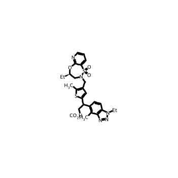 CC[C@@H]1CN(Cc2cc(C(CC(=O)O)c3ccc4c(nnn4CC)c3C)sc2C)S(=O)(=O)c2cccnc2O1